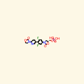 O=C1O[C@@H](COP(=O)(O)O)CN1c1cc(F)c(-c2ccc(N3CCOC3=O)nc2)c(F)c1